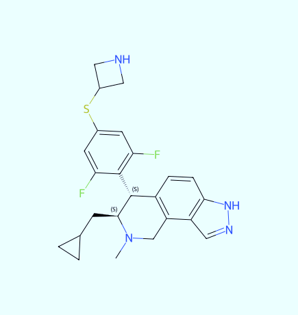 CN1Cc2c(ccc3[nH]ncc23)[C@@H](c2c(F)cc(SC3CNC3)cc2F)[C@@H]1CC1CC1